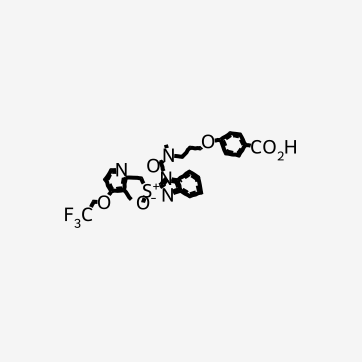 Cc1c(OCC(F)(F)F)ccnc1C[S+]([O-])c1nc2ccccc2n1C(=O)N(C)CCCOc1ccc(C(=O)O)cc1